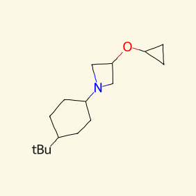 CC(C)(C)C1CCC(N2CC(OC3CC3)C2)CC1